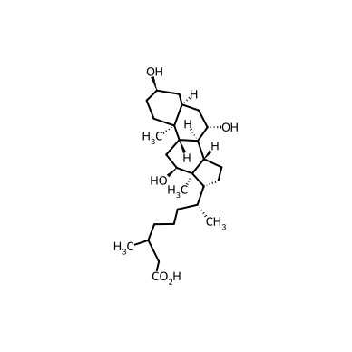 CC(CCC[C@@H](C)[C@H]1CC[C@H]2[C@@H]3[C@@H](O)C[C@@H]4C[C@H](O)CC[C@]4(C)[C@H]3C[C@H](O)[C@]12C)CC(=O)O